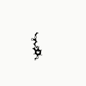 CCOC(=O)CCn1cc2cc(OC)ccc2n1